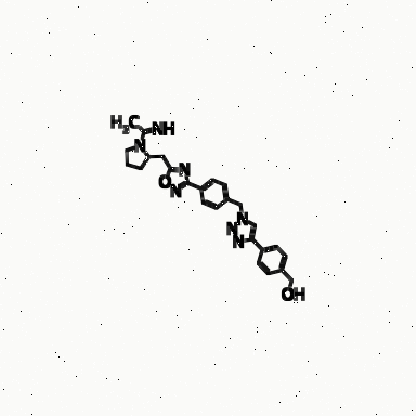 CC(=N)N1CCCC1Cc1nc(-c2ccc(Cn3cc(-c4ccc(CO)cc4)nn3)cc2)no1